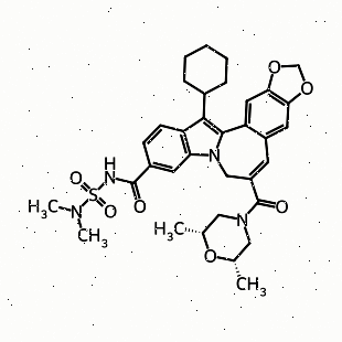 C[C@@H]1CN(C(=O)C2=Cc3cc4c(cc3-c3c(C5CCCCC5)c5ccc(C(=O)NS(=O)(=O)N(C)C)cc5n3C2)OCO4)C[C@H](C)O1